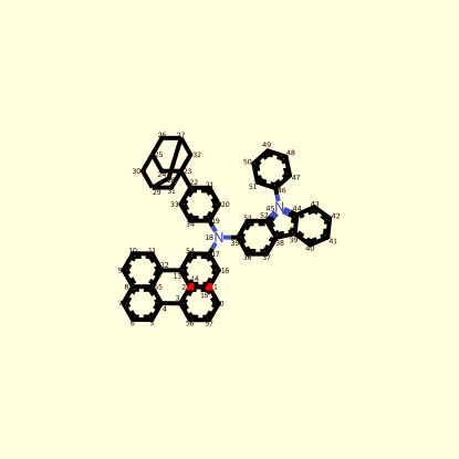 c1ccc(-c2cccc3cccc(-c4cccc(N(c5ccc(C67CC8CC(CC(C8)C6)C7)cc5)c5ccc6c7ccccc7n(-c7ccccc7)c6c5)c4)c23)cc1